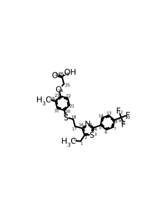 CCc1sc(-c2ccc(C(F)(F)F)cc2)nc1CCSc1ccc(OCC(=O)O)c(C)c1